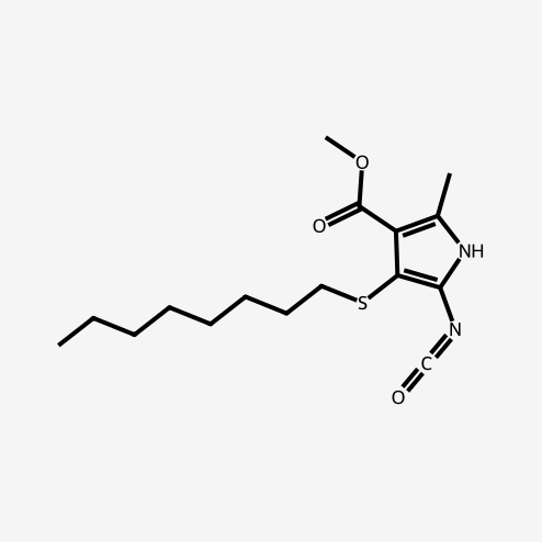 CCCCCCCCSc1c(N=C=O)[nH]c(C)c1C(=O)OC